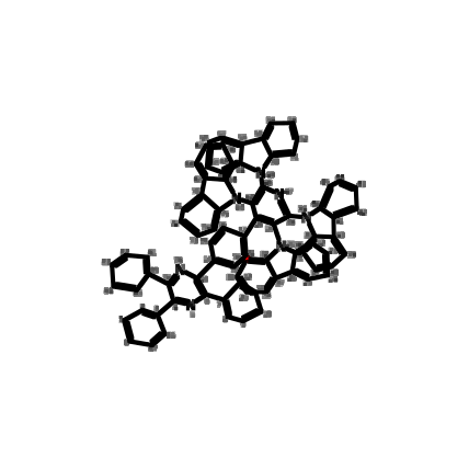 c1ccc(-c2nc(-c3ccccc3)c(-c3ccc(-c4c(-n5c6ccccc6c6ccccc65)c(-n5c6ccccc6c6ccccc65)nc(-n5c6ccccc6c6ccccc65)c4-n4c5ccccc5c5ccccc54)cc3)nc2-c2ccccc2)cc1